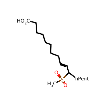 CCCCCC(C=CCCCCCCCC(=O)O)S(C)(=O)=O